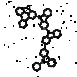 c1ccc(-n2c3ccccc3c3cc(-c4ccc5c(c4)c4ccccc4n5-c4ccc5c(c4)c4ccccc4n5-c4cc5oc6cccc7c8ccccc8c(c4)c5c67)ccc32)cc1